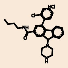 CCCCNC(=O)c1cc(-c2ccccc2Cl)c2c(c1)C(N1CCNCC1)c1ccccc1-2.Cl